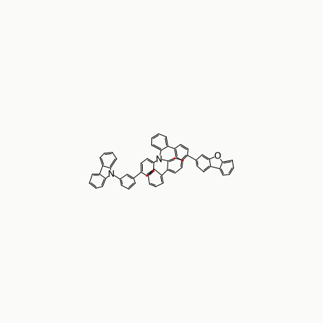 c1ccc(-c2ccccc2N(c2ccc(-c3cccc(-n4c5ccccc5c5ccccc54)c3)cc2)c2ccccc2-c2ccc(-c3ccc4c(c3)oc3ccccc34)cc2)cc1